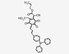 C=CCOC(=O)/C(C#N)=c1/n(CC)c(=O)/c(=C\C=C\c2ccc(N(c3ccccc3)c3ccccc3)cc2)c(=O)n1CC(=O)O